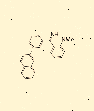 CNc1ccccc1C(=N)c1cccc(-c2ccc3ccccc3c2)c1